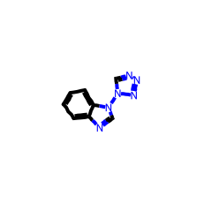 c1ccc2c(c1)ncn2-n1cnnn1